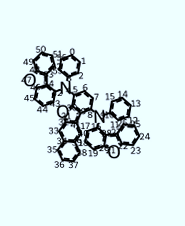 c1ccc(N(c2ccc(N(c3ccccc3)c3cccc4oc5ccccc5c34)c3c2oc2cc4ccccc4cc23)c2cccc3oc4ccccc4c23)cc1